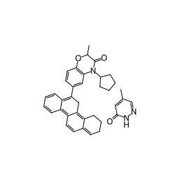 CC1Oc2ccc(C3=c4ccccc4=c4ccc5c(c4C3)CCCC=5)cc2N(C2CCCC2)C1=O.Cc1cn[nH]c(=O)c1